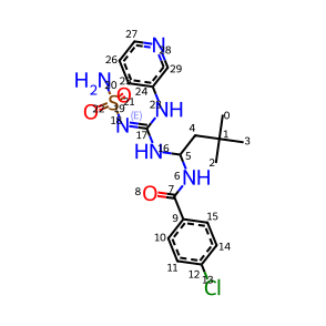 CC(C)(C)CC(NC(=O)c1ccc(Cl)cc1)N/C(=N/S(N)(=O)=O)Nc1cccnc1